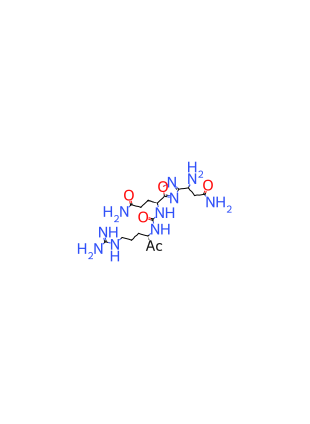 CC(=O)[C@H](CCCNC(=N)N)NC(=O)N[C@@H](CCC(N)=O)c1nc([C@@H](N)CC(N)=O)no1